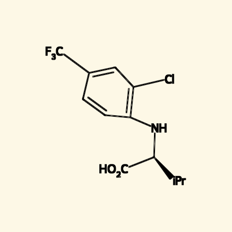 CC(C)[C@H](Nc1ccc(C(F)(F)F)cc1Cl)C(=O)O